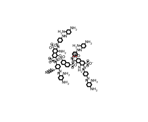 Nc1ccc(N=Nc2ccc(N=Nc3c(S(=O)(=O)[O-])cc4cc(S(=O)(=O)[O-])c(N=Nc5ccc(N=Nc6ccc(N)cc6N)cc5)c(OS(=O)(=O)c5ccc6ccc(S(=O)(=O)Oc7c(N=Nc8ccc(N=Nc9ccc(N)cc9N)cc8)c(S(=O)(=O)[O-])cc8cc(S(=O)(=O)[O-])c(N=Nc9ccc(N=Nc%10ccc(N)cc%10N)cc9)c(N)c78)cc6c5)c4c3N)cc2)c(N)c1.[Na+].[Na+].[Na+].[Na+]